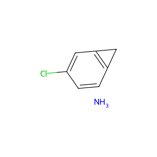 Clc1ccc2c(c1)C2.N